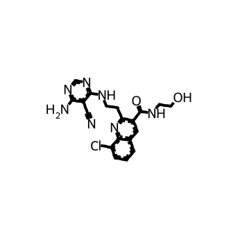 N#Cc1c(N)ncnc1NCCc1nc2c(Cl)cccc2cc1C(=O)NCCO